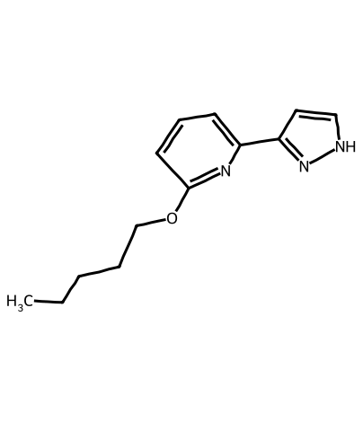 CCCCCOc1cccc(-c2cc[nH]n2)n1